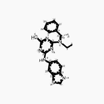 CCN(c1nc(O)nc(Nc2ccc3ncsc3c2)n1)[C@@H](C)c1ccccc1